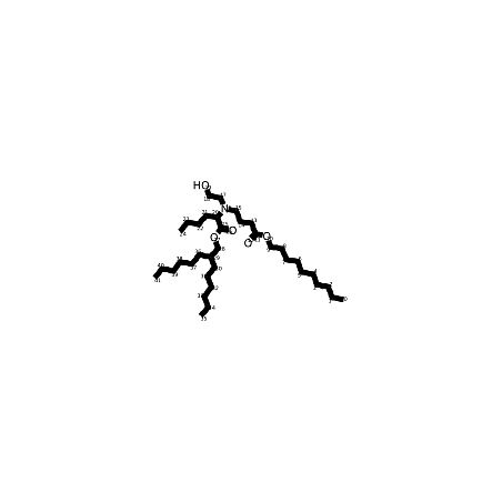 CCCCCCCCCCOC(=O)CCCN(CCO)C(CCCC)C(=O)OCC(CCCCCC)CCCCCC